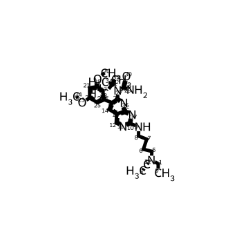 CCN(CC)CCCCNc1ncc2cc(-c3cc(OC)cc(OC)c3)c(N(C(N)=O)C(C)(C)C)nc2n1